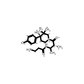 CC(NC(=O)CCN)[C@@H](C)C(=O)N1CC[C@](O)(c2ccc(Cl)cc2)C(C)(C)C1